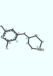 Cc1cc(CC2CCNCC2)cc(C)n1